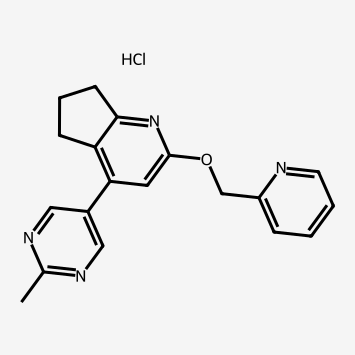 Cc1ncc(-c2cc(OCc3ccccn3)nc3c2CCC3)cn1.Cl